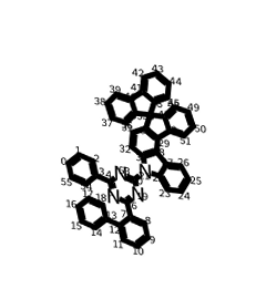 c1ccc(-c2nc(-c3ccccc3-c3ccccc3)nc(-n3c4ccccc4c4c5c(ccc43)C3(c4ccccc4-c4ccccc43)c3ccccc3-5)n2)cc1